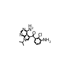 CC(C)n1cc(C(=O)c2cccc(N)c2Cl)c2c(N)ncnc21